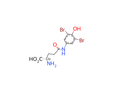 N[C@@H](CCC(=O)Nc1cc(Br)c(O)c(Br)c1)C(=O)O